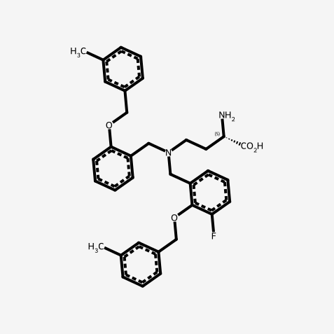 Cc1cccc(COc2ccccc2CN(CC[C@H](N)C(=O)O)Cc2cccc(F)c2OCc2cccc(C)c2)c1